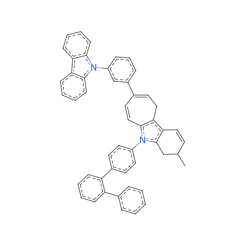 CC1C=Cc2c3c(n(-c4ccc(-c5ccccc5-c5ccccc5)cc4)c2C1)C=CC(c1cccc(-n2c4ccccc4c4ccccc42)c1)=CC3